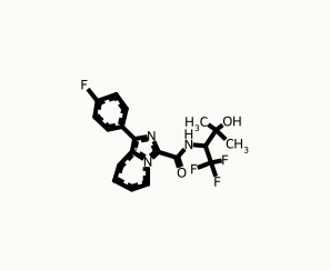 CC(C)(O)C(NC(=O)c1nc(-c2ccc(F)cc2)c2ccccn12)C(F)(F)F